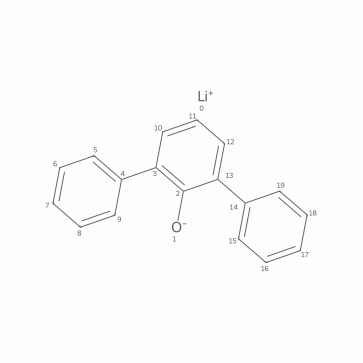 [Li+].[O-]c1c(-c2ccccc2)cccc1-c1ccccc1